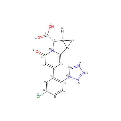 O=C(O)[C@@H]1[C@H]2CC2c2cc(-c3cc(Cl)ccc3-n3cnnn3)cc(=O)n21